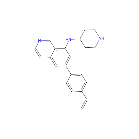 C=Cc1ccc(-c2cc(NC3CCNCC3)c3cnccc3c2)cc1